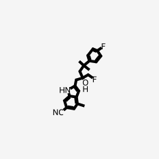 Cc1cc(C#N)cc2[nH]c(CC(O)(CF)CC(C)(C)c3ccc(F)cc3)cc12